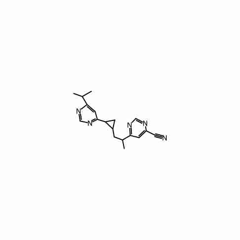 CC(C)c1cc(C2CC2CC(C)c2cc(C#N)ncn2)ncn1